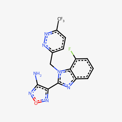 Nc1nonc1-c1nc2cccc(F)c2n1Cc1ccc(C(F)(F)F)nn1